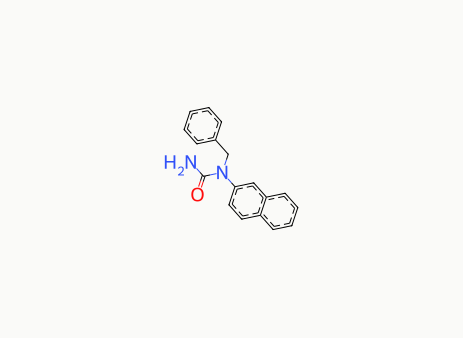 NC(=O)N(Cc1ccccc1)c1ccc2ccccc2c1